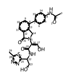 CC(=O)Nc1ccc(-c2cccc3c2CN(C(=CO)C(=O)NC(CO)c2nnc(C)s2)C3=O)cc1